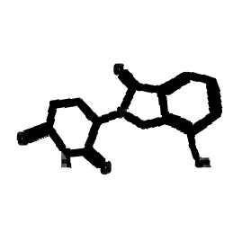 O=C1CCC(N2Cc3c(S)cccc3C2=O)C(=O)N1